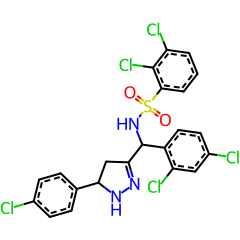 O=S(=O)(NC(C1=NNC(c2ccc(Cl)cc2)C1)c1ccc(Cl)cc1Cl)c1cccc(Cl)c1Cl